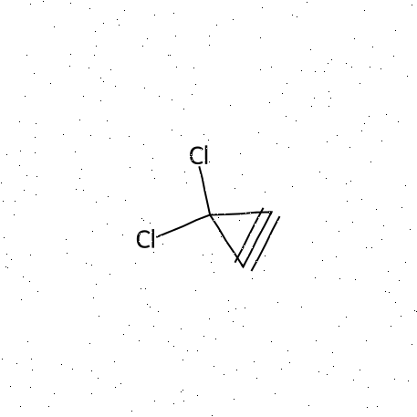 ClC1(Cl)C#C1